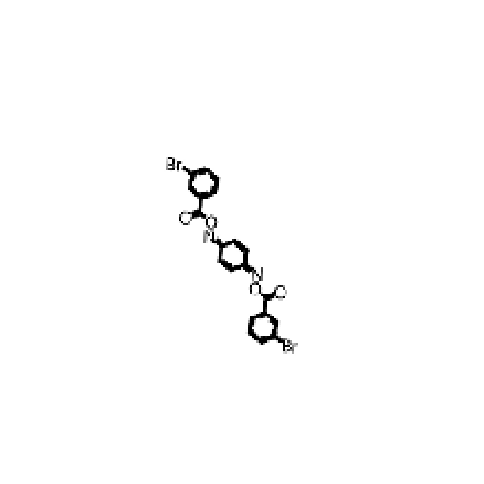 O=C(ON=C1C=CC(=NOC(=O)c2cccc(Br)c2)C=C1)c1cccc(Br)c1